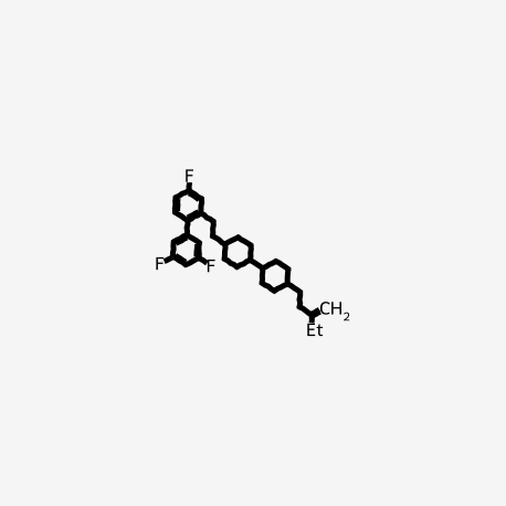 C=C(CC)CCC1CCC(C2CCC(CCc3cc(F)ccc3-c3cc(F)cc(F)c3)CC2)CC1